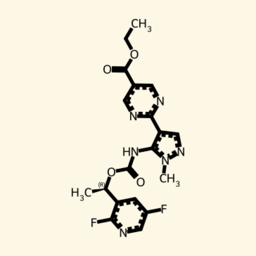 CCOC(=O)c1cnc(-c2cnn(C)c2NC(=O)O[C@H](C)c2cc(F)cnc2F)nc1